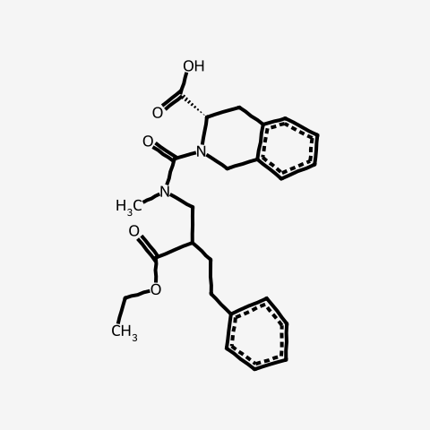 CCOC(=O)C(CCc1ccccc1)CN(C)C(=O)N1Cc2ccccc2C[C@H]1C(=O)O